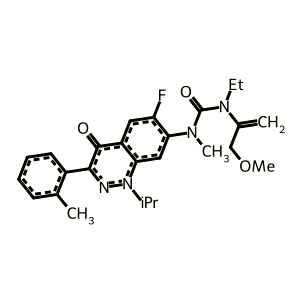 C=C(COC)N(CC)C(=O)N(C)c1cc2c(cc1F)c(=O)c(-c1ccccc1C)nn2C(C)C